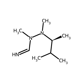 CC(C)[C@H](C)N(C)N(C)C=N